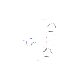 COc1ccc(CN(Cc2ccc(OC)cc2)S(=O)(=O)[C@@H](C)[C@H](OC)c2cnc(OC)cn2)cc1